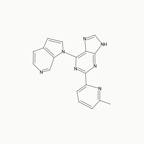 Cc1cccc(-c2nc(-n3ccc4ccncc43)c3nc[nH]c3n2)n1